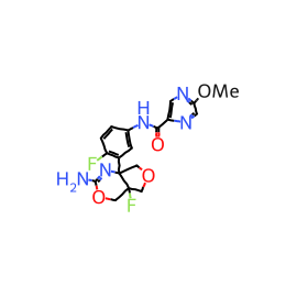 COc1cnc(C(=O)Nc2ccc(F)c(C34COCC3(F)COC(N)=N4)c2)cn1